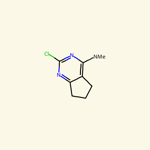 CNc1nc(Cl)nc2c1CCC2